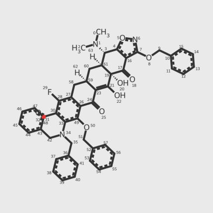 CN(C)[C@@H]1c2onc(OCc3ccccc3)c2C(=O)[C@@]2(O)C(O)=C3C(=O)c4c(c(F)c(C=O)c(N(Cc5ccccc5)Cc5ccccc5)c4OCc4ccccc4)C[C@H]3C[C@@H]12